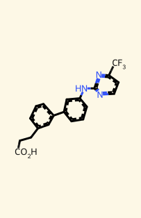 O=C(O)CCc1cccc(-c2cccc(Nc3nccc(C(F)(F)F)n3)c2)c1